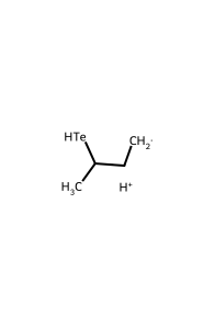 [CH2]CC(C)[TeH].[H+]